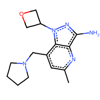 Cc1cc(CN2CCCC2)c2c(n1)c(N)nn2C1COC1